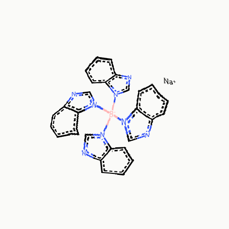 [Na+].c1ccc2c(c1)ncn2[B-](n1cnc2ccccc21)(n1cnc2ccccc21)n1cnc2ccccc21